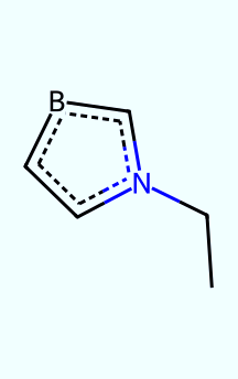 CCn1cbcc1